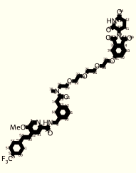 COc1cnc(C(=O)NCc2cccc(CC(=O)N(C)CCOCCOCCOCCOc3ccc4c(c3)C(=O)N(C3CCC(=O)NC3=O)C4=O)c2)cc1/C=C/C1CCC(C(F)(F)F)CC1